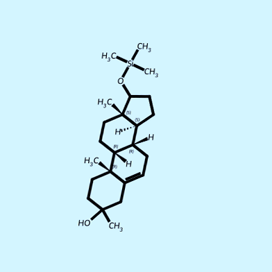 CC1(O)CC[C@@]2(C)C(=CC[C@@H]3[C@H]2CC[C@]2(C)C(O[Si](C)(C)C)CC[C@@H]32)C1